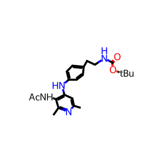 CC(=O)Nc1c(Nc2ccc(CCNC(=O)OC(C)(C)C)cc2)cc(C)nc1C